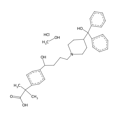 CC(C)(C(=O)O)c1ccc(C(O)CCCN2CCC(C(O)(c3ccccc3)c3ccccc3)CC2)cc1.CO.Cl